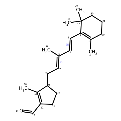 CC1=C(/C=C/C(C)=C/CC2CCC(C=O)=C2C)C(C)(C)CCC1